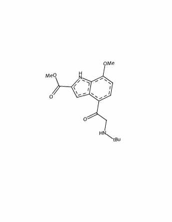 COC(=O)c1cc2c(C(=O)CNC(C)(C)C)ccc(OC)c2[nH]1